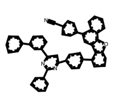 N#Cc1ccc(-c2cc3c(oc4cccc(-c5ccc(-c6cc(-c7cccc(-c8ccccc8)c7)nc(-c7ccccc7)n6)cc5)c43)c3ccccc23)cc1